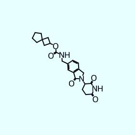 O=C1CCC(N2Cc3ccc(CNC(=O)OC4CC5(CCCC5)C4)cc3C2=O)C(=O)N1